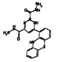 NNC(=O)C1=NN(C(=O)NN)NC(c2cccc3c2Nc2ccccc2S3)=C1